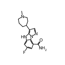 CN1CCCC(c2cnn3c2[nH]c2cc(F)cc(C(N)=O)c23)CC1